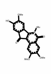 CCCCn1c2c(c3cc(OC)c(OC)cc3c1=O)C(=O)c1cc(O)c(OC)cc1-2